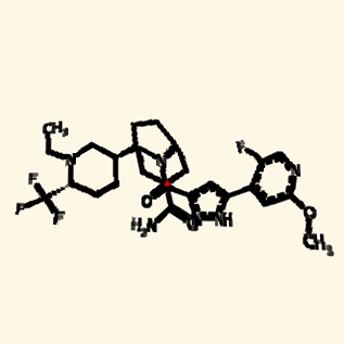 CCN1C[C@@H](C23CCC(CC(C(N)=O)C2)N3C(=O)c2cc(-c3cc(OC)ncc3F)[nH]n2)CC[C@@H]1C(F)(F)F